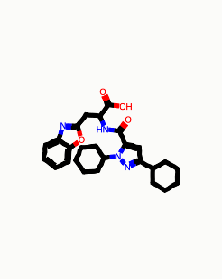 O=C(NC(Cc1nc2ccccc2o1)C(=O)O)c1cc(C2CCCCC2)nn1C1CCCCC1